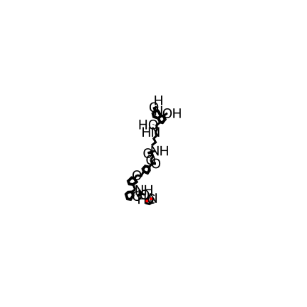 O=C(COC(=O)c1ccc(COc2cccc(C(NC(=O)O[C@H]3CN4CCC3CC4)c3ccccc3)c2)cc1)NCCCCNC[C@H](O)c1ccc(O)c2[nH]c(=O)ccc12